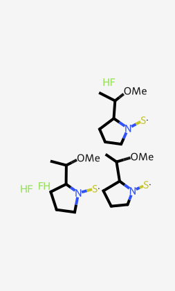 COC(C)C1CCCN1[S].COC(C)C1CCCN1[S].COC(C)C1CCCN1[S].F.F.F